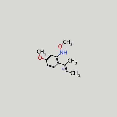 C/C=C(\C)c1ccc(OC)cc1NOC